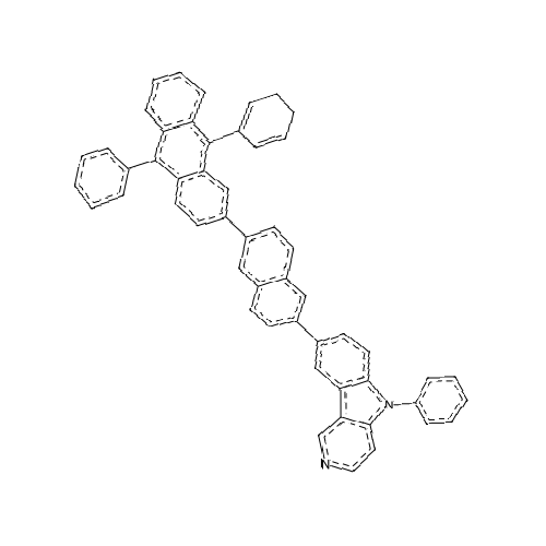 C1=CC(c2c3ccccc3c(-c3ccccc3)c3ccc(-c4ccc5cc(-c6ccc7c(c6)c6cnccc6n7-c6ccccc6)ccc5c4)cc23)=CCC1